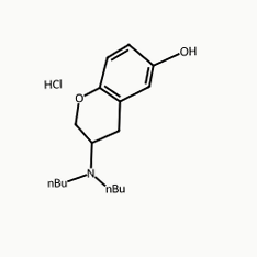 CCCCN(CCCC)C1COc2ccc(O)cc2C1.Cl